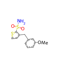 COc1cccc(Cc2ccsc2S(N)(=O)=O)c1